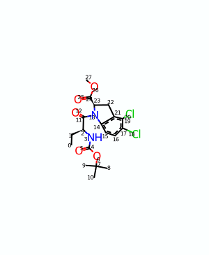 CC[C@H](NC(=O)OC(C)(C)C)C(=O)N1c2ccc(Cl)c(Cl)c2C[C@@H]1C(=O)OC